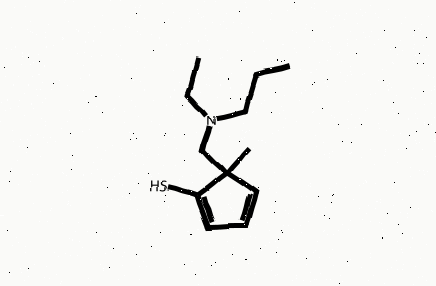 CCCN(CC)CC1(C)C=CC=C1S